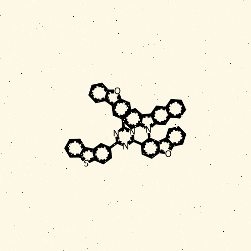 c1ccc2cc3c(cc2c1)c1ccccc1n3-c1c(-c2nc(-c3ccc4oc5ccccc5c4c3)nc(-c3ccc4sc5ccccc5c4c3)n2)ccc2oc3ccccc3c12